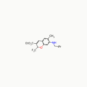 CCOC(=O)C1=Cc2cc(C)c(NCC(C)C)cc2OC1C(F)(F)F